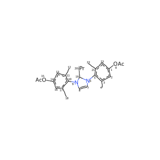 CC(=O)Oc1cc(C)c(N2C=CN(c3c(C)cc(OC(C)=O)cc3C)C2C(C)C)c(C)c1